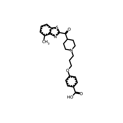 Cc1cccc2sc(C(=O)C3CCN(CCCOc4ccc(C(=O)O)cc4)CC3)nc12